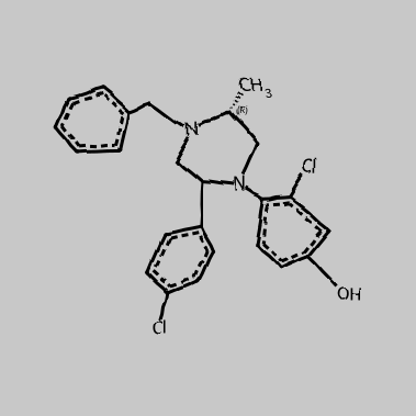 C[C@@H]1CN(c2ccc(O)cc2Cl)C(c2ccc(Cl)cc2)CN1Cc1ccccc1